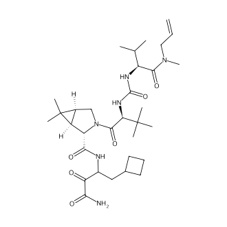 C=CCN(C)C(=O)[C@@H](NC(=O)N[C@H](C(=O)N1C[C@H]2[C@@H]([C@H]1C(=O)NC(CC1CCC1)C(=O)C(N)=O)C2(C)C)C(C)(C)C)C(C)C